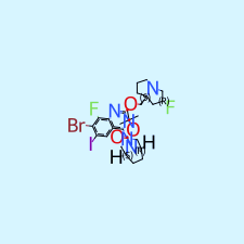 CC(C)(C)OC(=O)N1[C@@H]2CC[C@H]1CN(c1nc(OC[C@@]34CCCN3C[C@H](F)C4)nc3c(F)c(Br)c(I)cc13)C2